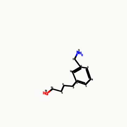 NCc1cccc(CCCCO)c1